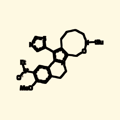 CC[S+]([O-])c1cc2c(cc1OC)CCn1c3c(c(-c4cncs4)c1-2)CCCCN(C(C)(C)C)OC3